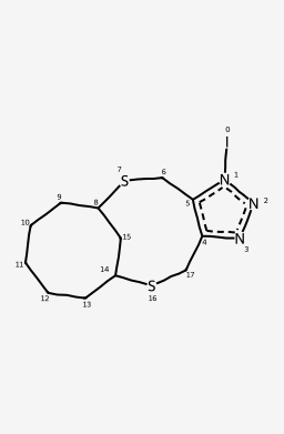 In1nnc2c1CSC1CCCCCC(C1)SC2